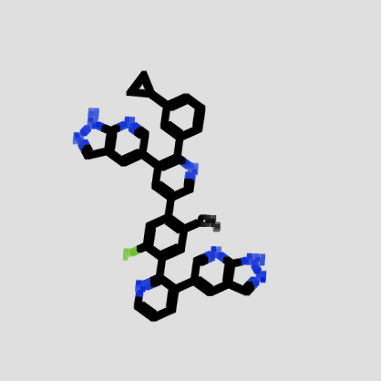 Cc1cc(-c2ncccc2-c2cnc3[nH]ncc3c2)c(F)cc1-c1cnc(-c2cccc(C3CC3)c2)c(-c2cnc3[nH]ncc3c2)c1